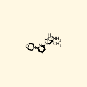 CC(C)(N)CNc1c[c]cc(N2CCOCC2)n1